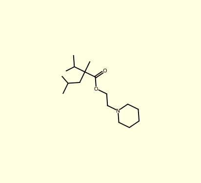 CC(C)CC(C)(C(=O)OCCN1CCCCC1)C(C)C